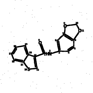 O=C(Nc1ccc2c(c1)OCO2)c1csc2ccccc12